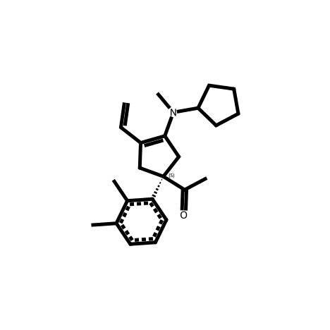 C=CC1=C(N(C)C2CCCC2)C[C@](C(C)=O)(c2cccc(C)c2C)C1